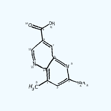 Cc1cc(N)nc2cc(C(=O)O)cnc12